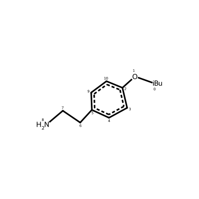 CCC(C)Oc1ccc(CCN)cc1